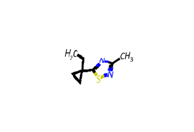 CCC1(c2nc(C)ns2)CC1